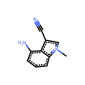 Cn1cc(C#N)c2c(N)cccc21